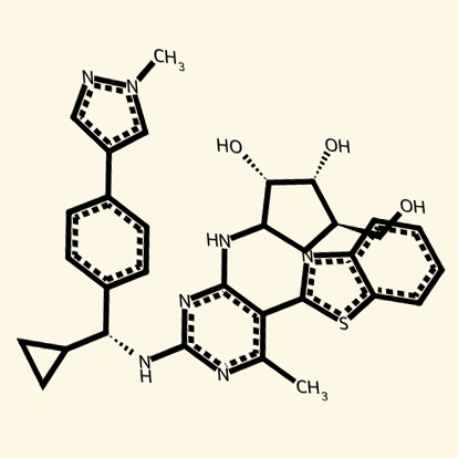 Cc1nc(N[C@@H](c2ccc(-c3cnn(C)c3)cc2)C2CC2)nc(NC2C[C@H](CO)[C@@H](O)[C@H]2O)c1-c1nc2ccccc2s1